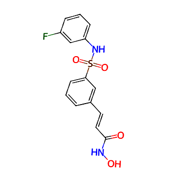 O=C(/C=C/c1cccc(S(=O)(=O)Nc2cccc(F)c2)c1)NO